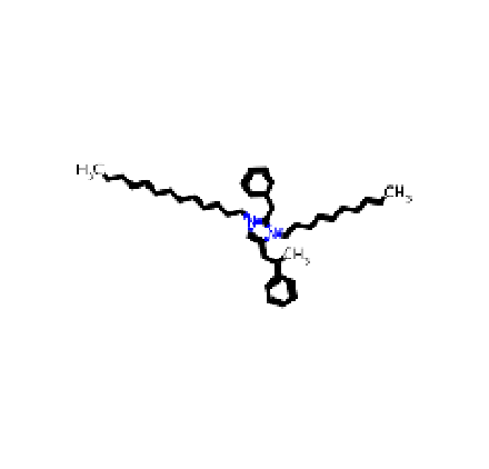 CCCCCCCCCCCCCn1cc(CC(C)c2ccccc2)[n+](CCCCCCCCCC)c1Cc1ccccc1